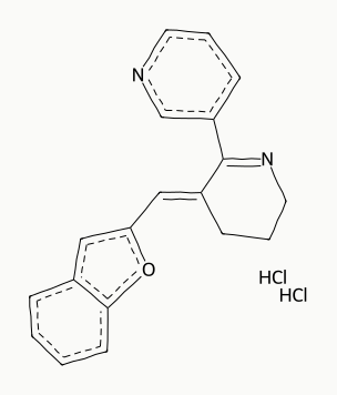 C(=C1CCCN=C1c1cccnc1)c1cc2ccccc2o1.Cl.Cl